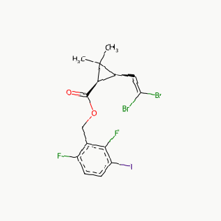 CC1(C)[C@H](C(=O)OCc2c(F)ccc(I)c2F)[C@@H]1C=C(Br)Br